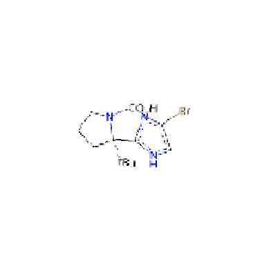 CC(C)(C)[C@]1(c2nc(Br)c[nH]2)CCCN1C(=O)O